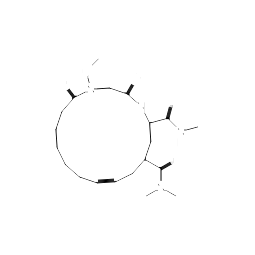 CNC(=O)C1CC(C(=O)N(C)C)CC=CCCCCCC(=O)N(OC)CC(=O)N1